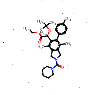 CCOC(=O)[C@@H](OC(C)(C)C)c1c(C)c2c(c(C)c1-c1ccc(C)cc1)CN(C(=O)N1CCCCC1)C2